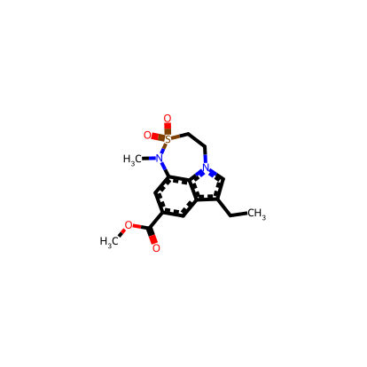 CCc1cn2c3c(cc(C(=O)OC)cc13)N(C)S(=O)(=O)CC2